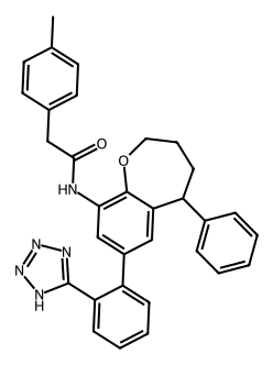 Cc1ccc(CC(=O)Nc2cc(-c3ccccc3-c3nnn[nH]3)cc3c2OCCCC3c2ccccc2)cc1